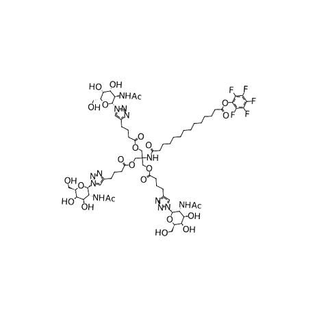 CC(=O)N[C@@H]1[C@@H](O)[C@@H](O)[C@@H](CO)O[C@H]1n1cc(CCCC(=O)OCC(COC(=O)CCCc2cn([C@@H]3O[C@H](CO)[C@H](O)[C@H](O)[C@H]3NC(C)=O)nn2)(COC(=O)CCCc2cn([C@@H]3O[C@H](CO)[C@H](O)[C@H](O)[C@H]3NC(C)=O)nn2)NC(=O)CCCCCCCCCCCCC(=O)Oc2c(F)c(F)c(F)c(F)c2F)nn1